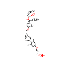 CNCC(=O)OB(OC(C)=O)c1ccc(OCc2cccc(-c3c(C)cc(OCCCO)cc3C)c2)cc1